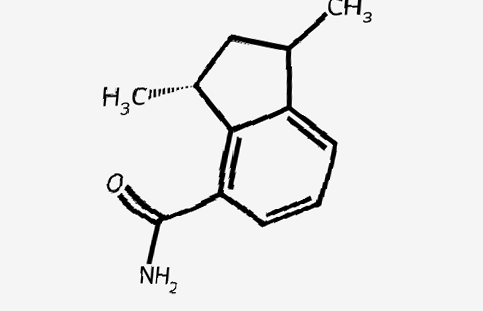 CC1C[C@@H](C)c2c(C(N)=O)cccc21